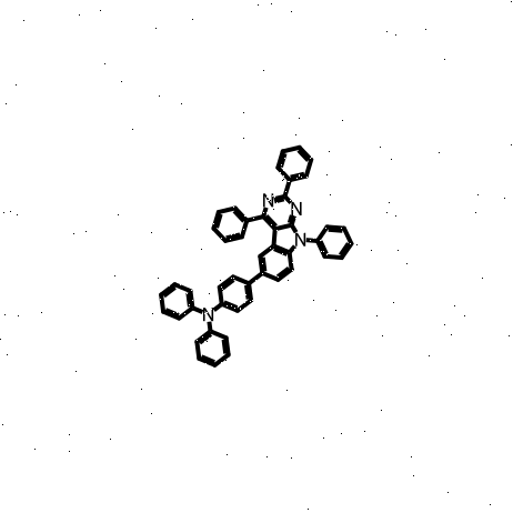 c1ccc(-c2nc(-c3ccccc3)c3c4cc(-c5ccc(N(c6ccccc6)c6ccccc6)cc5)ccc4n(-c4ccccc4)c3n2)cc1